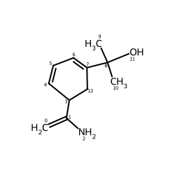 C=C(N)C1C=CC=C(C(C)(C)O)C1